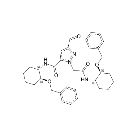 O=Cc1cc(C(=O)N[C@H]2CCCC[C@@H]2OCc2ccccc2)n(CC(=O)N[C@H]2CCCC[C@@H]2OCc2ccccc2)n1